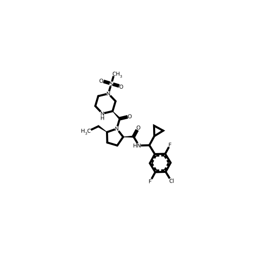 CC[C@@H]1CC[C@H](C(=O)NC(c2cc(F)c(Cl)cc2F)C2CC2)N1C(=O)[C@@H]1CN(S(C)(=O)=O)CCN1